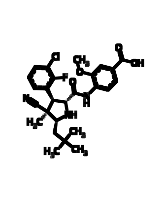 COc1cc(C(=O)O)ccc1NC(=O)[C@@H]1N[C@@H](CC(C)(C)C)[C@@](C)(C#N)[C@H]1c1cccc(Cl)c1F